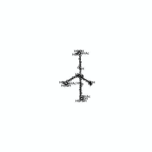 CC(=O)N[C@H]1[C@H](OCCOCCOCCOCC(=O)NCCCC[C@H](NC(=O)COCCOCCOCCO[C@@H]2O[C@H](CO)[C@H](O)[C@H](O)[C@H]2NC(C)=O)C(=O)N[C@@H](CCCCNC(=O)COCCOCCOCCO[C@@H]2O[C@H](CO)[C@H](O)[C@H](O)[C@H]2NC(C)=O)C(=O)NCCCCCCOP(=O)(O)OI)O[C@H](CO)[C@H](O)[C@@H]1O